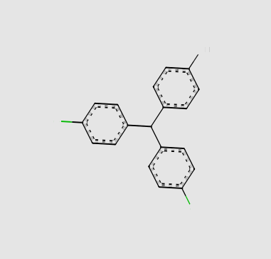 O=Cc1ccc(C(c2ccc(Cl)cc2)c2ccc(Cl)cc2)cc1